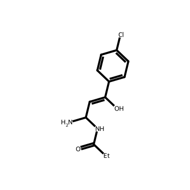 CCC(=O)NC(N)/C=C(\O)c1ccc(Cl)cc1